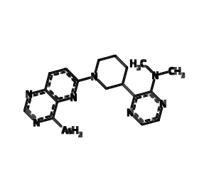 CN(C)c1nccnc1C1CCCN(c2ccc3ncnc([AsH2])c3n2)C1